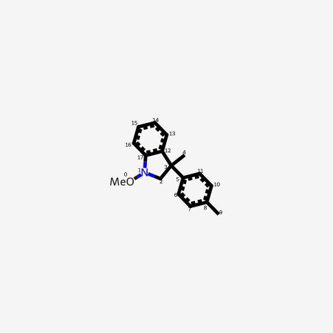 CON1CC(C)(c2ccc(C)cc2)c2ccccc21